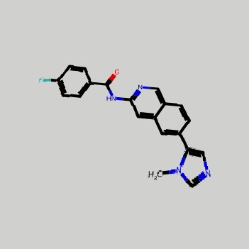 Cn1cncc1-c1ccc2cnc(NC(=O)c3ccc(F)cc3)cc2c1